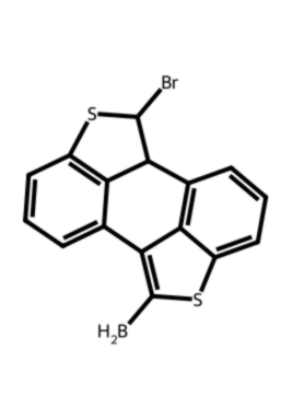 Bc1sc2cccc3c2c1-c1cccc2c1C3C(Br)S2